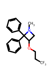 CN1CC(OCCC(F)(F)F)C1(c1ccccc1)c1ccccc1